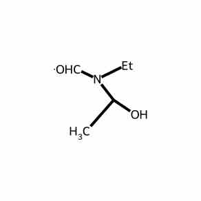 CCN([C]=O)C(C)O